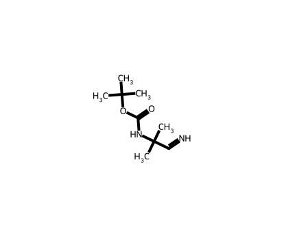 CC(C)(C=N)NC(=O)OC(C)(C)C